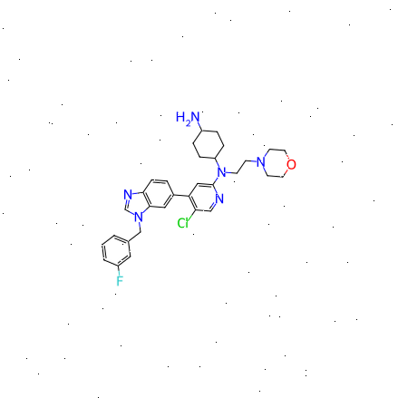 NC1CCC(N(CCN2CCOCC2)c2cc(-c3ccc4ncn(Cc5cccc(F)c5)c4c3)c(Cl)cn2)CC1